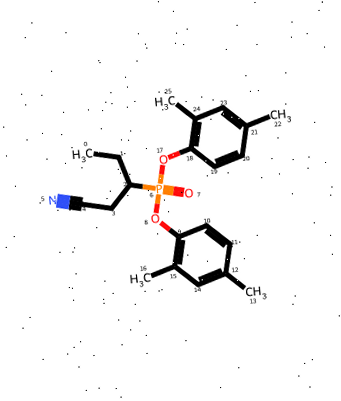 CCC(CC#N)P(=O)(Oc1ccc(C)cc1C)Oc1ccc(C)cc1C